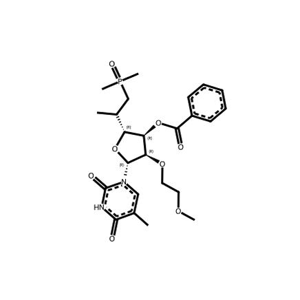 COCCO[C@@H]1[C@H](OC(=O)c2ccccc2)[C@@H](C(C)CP(C)(C)=O)O[C@H]1n1cc(C)c(=O)[nH]c1=O